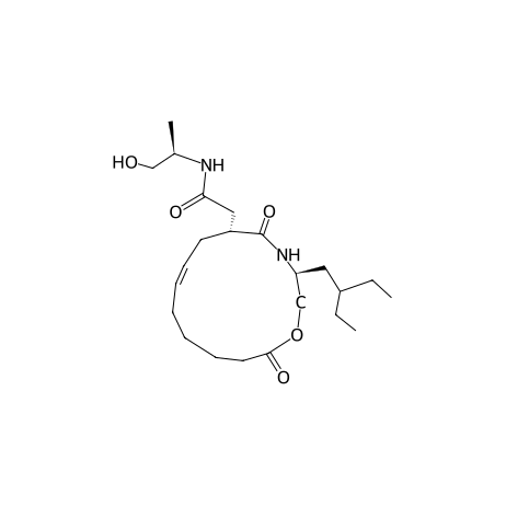 CCC(CC)C[C@H]1COC(=O)CCCC/C=C\C[C@H](CC(=O)N[C@H](C)CO)C(=O)N1